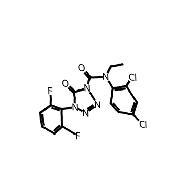 CCN(C(=O)n1nnn(-c2c(F)cccc2F)c1=O)c1ccc(Cl)cc1Cl